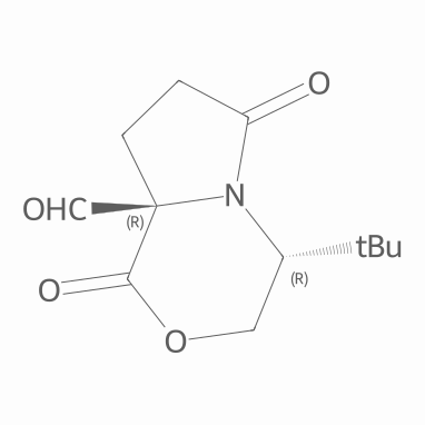 CC(C)(C)[C@@H]1COC(=O)[C@]2(C=O)CCC(=O)N12